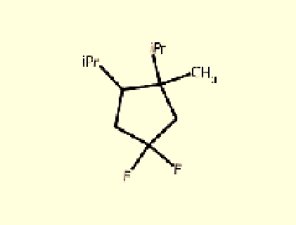 CC(C)C1CC(F)(F)CC1(C)C(C)C